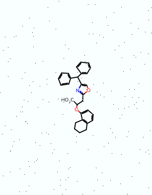 O=C(O)C(Cc1nc(C(c2ccccc2)c2ccccc2)co1)Oc1cccc2c1CCCC2